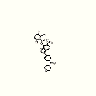 C[C@@H](Oc1c(N)ncc2c(C3=CCN(C(=O)N4CCOCC4)CC3)coc12)c1c(Cl)ccc(F)c1Cl